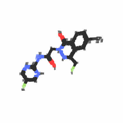 O=C(Cn1nc(CF)c2cc(C(F)(F)F)ccc2c1=O)Nc1ncc(F)cn1